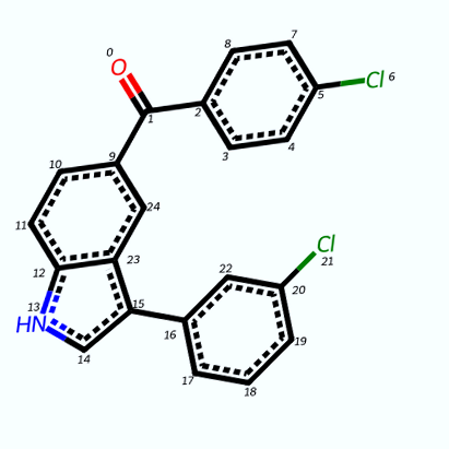 O=C(c1ccc(Cl)cc1)c1ccc2[nH]cc(-c3cccc(Cl)c3)c2c1